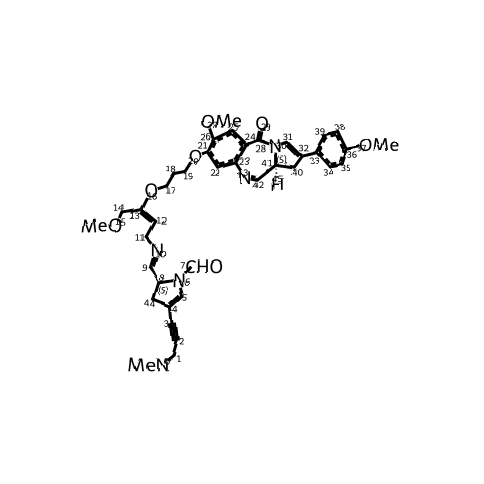 CNCC#CC1=CN(C=O)[C@H](C=NCC=C(COC)OCCCOc2cc3c(cc2OC)C(=O)N2C=C(c4ccc(OC)cc4)C[C@H]2C=N3)C1